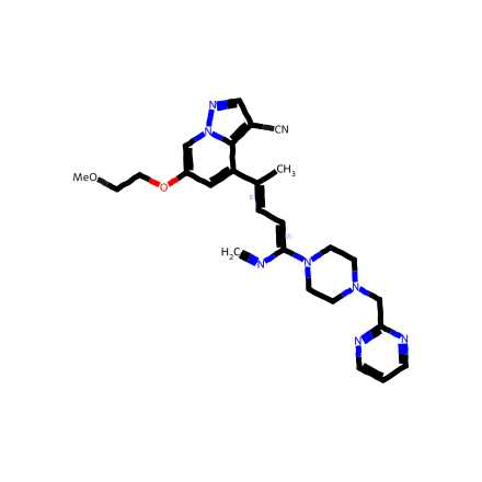 C=N/C(=C\C=C(/C)c1cc(OCCOC)cn2ncc(C#N)c12)N1CCN(Cc2ncccn2)CC1